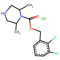 CC1CNCC(C)N1C(=O)OCc1cccc(F)c1F.Cl